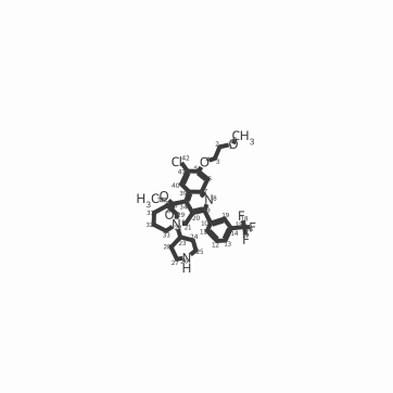 COCCOc1cc2nc(-c3cccc(C(F)(F)F)c3)c(C[N+]3(C4CCNCC4)CCCCC3)c(C(=O)OC)c2cc1Cl